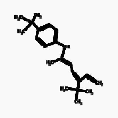 C=C/C(=C\C=C(/C)Bc1ccc(C(C)(C)C)cc1)C(C)(C)C